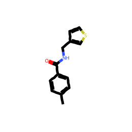 Cc1ccc(C(=O)NCc2ccsc2)cc1